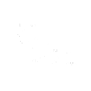 COC(=O)C(=O)Nc1cc(Cl)c(Oc2cc(C(C)C)c(Cl)nn2)c(Cl)c1